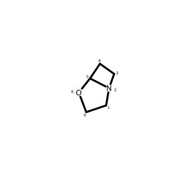 C1CN2CCC2O1